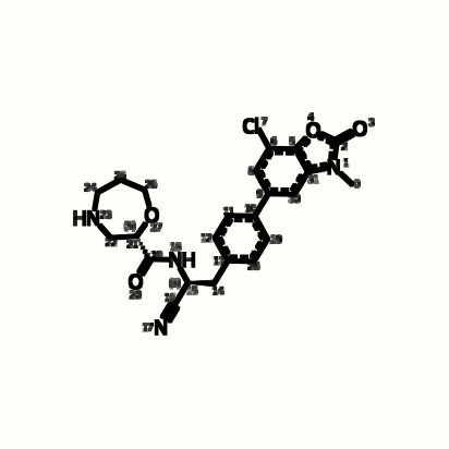 Cn1c(=O)oc2c(Cl)cc(-c3ccc(C[C@@H](C#N)NC(=O)[C@@H]4CNCCCO4)cc3)cc21